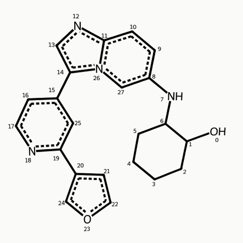 OC1CCCCC1Nc1ccc2ncc(-c3ccnc(-c4ccoc4)c3)n2c1